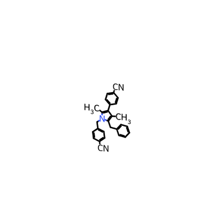 Cc1c(-c2ccc(C#N)cc2)c(C)n(Cc2ccc(C#N)cc2)c1Cc1ccccc1